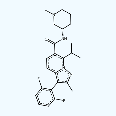 Cc1nn2c(C(C)C)c(C(=O)N[C@H]3CCCN(C)C3)ccc2c1-c1c(F)cccc1F